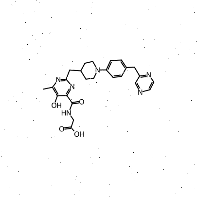 Cc1nc(CC2CCN(c3ccc(Cc4cnccn4)cc3)CC2)nc(C(=O)NCC(=O)O)c1O